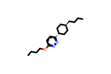 CCCCOc1ccc([C@H]2CC[C@H](CCCC)CC2)nn1